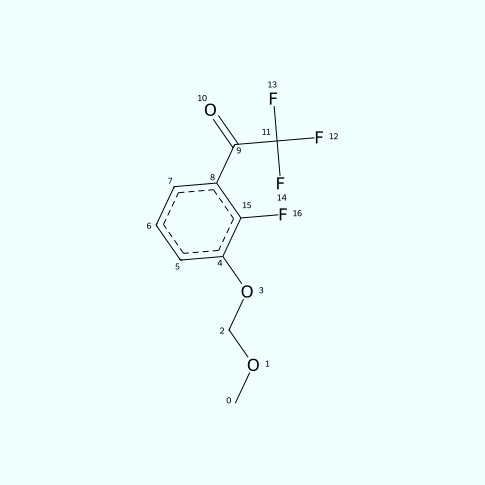 COCOc1cccc(C(=O)C(F)(F)F)c1F